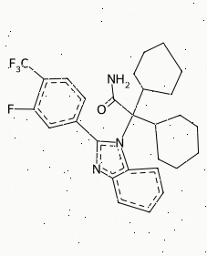 NC(=O)C(C1CCCCC1)(C1CCCCC1)n1c(-c2ccc(C(F)(F)F)c(F)c2)nc2ccccc21